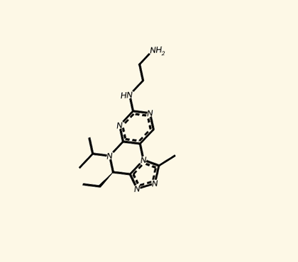 CC[C@@H]1c2nnc(C)n2-c2cnc(NCCN)nc2N1C(C)C